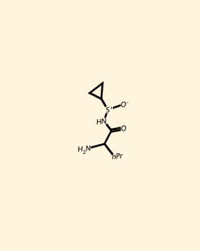 CCCC(N)C(=O)N[S+]([O-])C1CC1